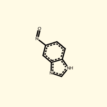 O=Nc1ccc2[nH]cnc2c1